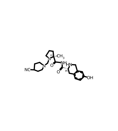 C[C@@]1(C(=O)NC(=O)[C@H]2Cc3ccc(O)cc3CN2)CCCN1CN1CCC(C#N)CC1